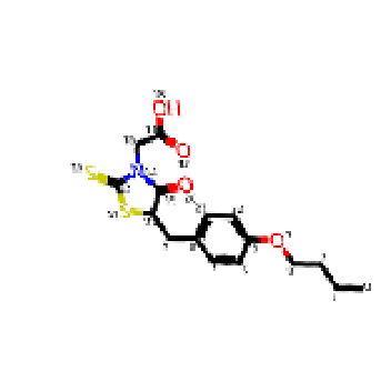 CCCCOc1ccc(CC2SC(=S)N(CC(=O)O)C2=O)cc1